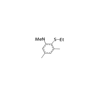 CCSc1c(C)cc(C)cc1NC